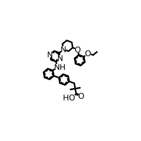 CCOc1ccccc1OC1CCCN(c2cncc(Nc3ccccc3-c3ccc(CC(C)(C)C(=O)O)cc3)n2)C1